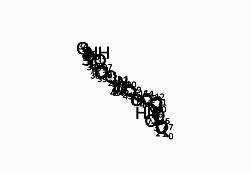 Cc1ccc(S(=O)(=O)Nc2cccc3ccc(Oc4ccc5nc(COc6ccc(CC7SC(=O)NC7=O)cc6)n(C)c5c4)cc23)cc1